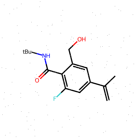 C=C(C)c1cc(F)c(C(=O)NC(C)(C)C)c(CO)c1